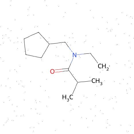 [CH2]CN(CC1CCCC1)C(=O)C(C)C